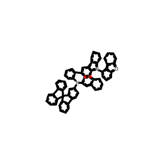 c1ccc(N(c2ccc3c(c2)C2(c4ccccc4-c4ccccc42)c2ccccc2-3)c2ccc3ccccc3c2)c(-c2ccc3c(c2)c2ccccc2n3-c2cccc3oc4ccccc4c23)c1